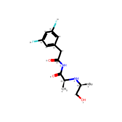 CCCC[C@@H](CO)N[C@@H](C)C(=O)NC(=O)Cc1cc(F)cc(F)c1